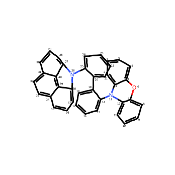 c1ccc2c(c1)Oc1ccccc1N2c1ccccc1-c1ccccc1-n1c2cccc3ccc4cccc1c4c32